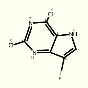 Clc1nc(Cl)c2[nH]cc(I)c2n1